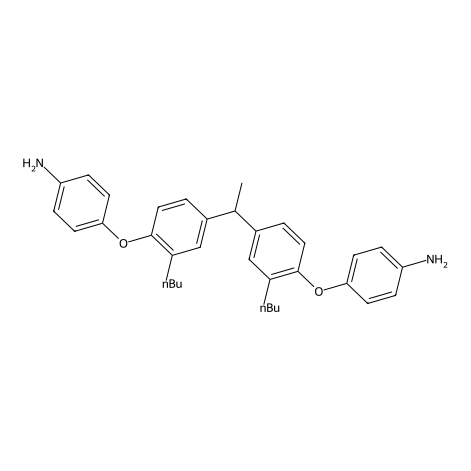 CCCCc1cc(C(C)c2ccc(Oc3ccc(N)cc3)c(CCCC)c2)ccc1Oc1ccc(N)cc1